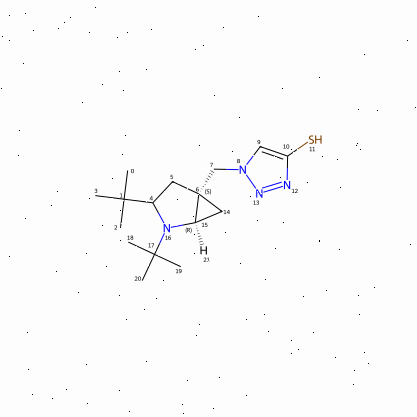 CC(C)(C)C1C[C@@]2(Cn3cc(S)nn3)C[C@H]2N1C(C)(C)C